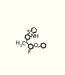 CC(c1cc(F)cc(OCc2ccccc2)c1)c1ccc2c(c1)NC1=CCCC=C1S2